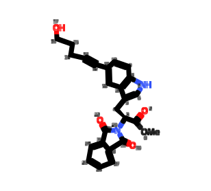 COC(=O)[C@H](Cc1c[nH]c2ccc(C#CCCCO)cc12)N1C(=O)c2ccccc2C1=O